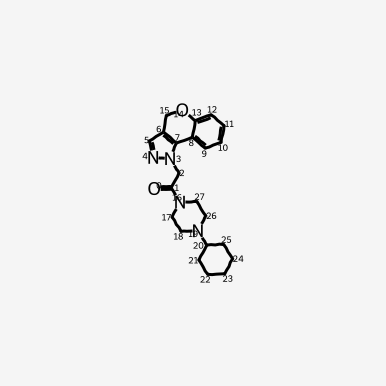 O=C(Cn1ncc2c1-c1ccccc1OC2)N1CCN(C2CCCCC2)CC1